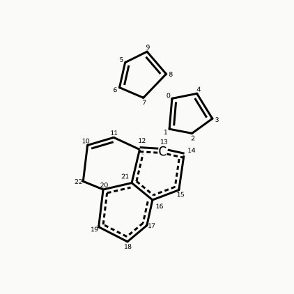 C1=CCC=C1.C1=CCC=C1.C1=Cc2cccc3cccc(c23)C1